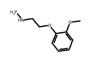 COc1ccccc1OCCNP